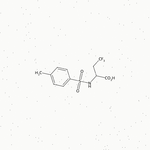 Cc1ccc(S(=O)(=O)NC(CC(F)(F)F)C(=O)O)cc1